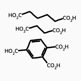 O=C(O)CCC(=O)O.O=C(O)CCCCC(=O)O.O=C(O)c1ccc(C(=O)O)c(C(=O)O)c1